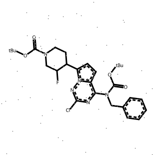 CC(C)(C)OC(=O)N1CCC(c2ccc3c(N(Cc4ccccc4)C(=O)OC(C)(C)C)nc(Cl)nn23)C(F)C1